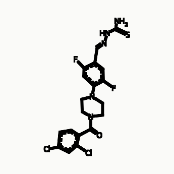 NC(=S)N/N=C/c1cc(F)c(N2CCN(C(=O)c3ccc(Cl)cc3Cl)CC2)cc1F